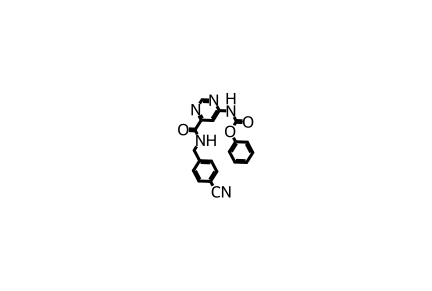 N#Cc1ccc(CNC(=O)c2cc(NC(=O)Oc3ccccc3)ncn2)cc1